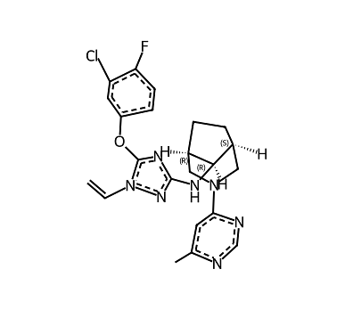 C=Cn1nc(N[C@H]2[C@@H]3CC[C@H]2CN(c2cc(C)ncn2)C3)nc1Oc1ccc(F)c(Cl)c1